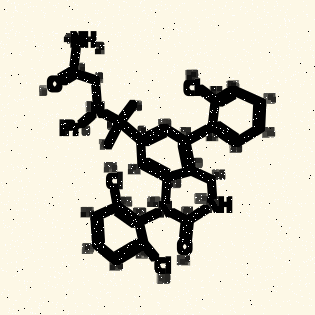 CC(C)N(CC(N)=O)C(C)(C)c1cc(-c2ccccc2Cl)c2c(c1)N(c1c(Cl)cccc1Cl)C(=O)NC2